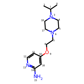 CC(C)N1CCN(CCOc2ccnc(N)c2)CC1